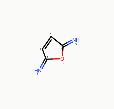 N=C1C=CC(=N)O1